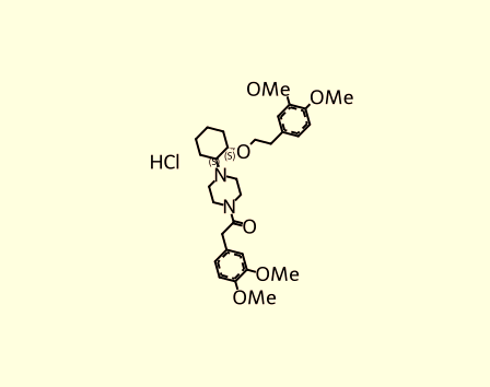 COc1ccc(CCO[C@H]2CCCC[C@@H]2N2CCN(C(=O)Cc3ccc(OC)c(OC)c3)CC2)cc1OC.Cl